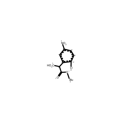 CCC(C)OC(=O)C(C(=O)O)c1cc([N+](=O)[O-])ccc1Cl